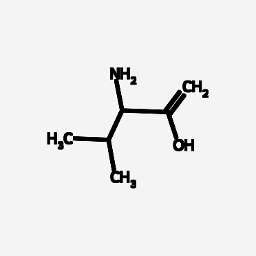 C=C(O)C(N)C(C)C